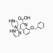 O=C(O)c1cc(C2(N3CCNCC3)N=CC=CN2)c2cccc(OCc3ccccc3)c2n1